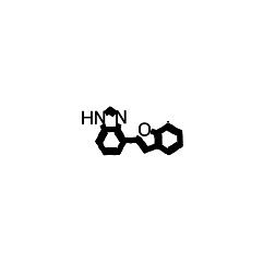 [c]1cccc2cc(-c3cccc4[nH]cnc34)oc12